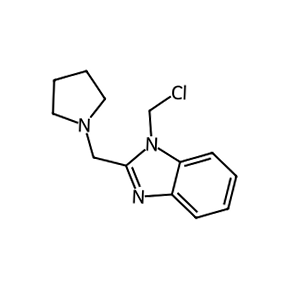 ClCn1c(CN2CCCC2)nc2ccccc21